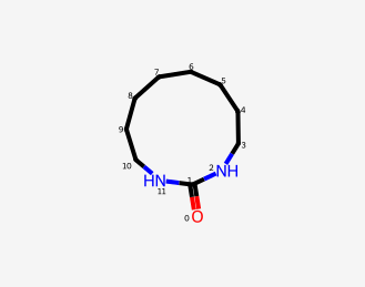 O=C1NCCCCCCCCN1